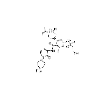 O=C(Nc1cccn(N2CCC(F)(F)CC2)c1=O)c1c(F)cc(NS(=O)(=O)CCO)cc1N1CC[C@]2(C(F)F)C[C@@H]2C1